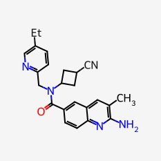 CCc1ccc(CN(C(=O)c2ccc3nc(N)c(C)cc3c2)C2CC(C#N)C2)nc1